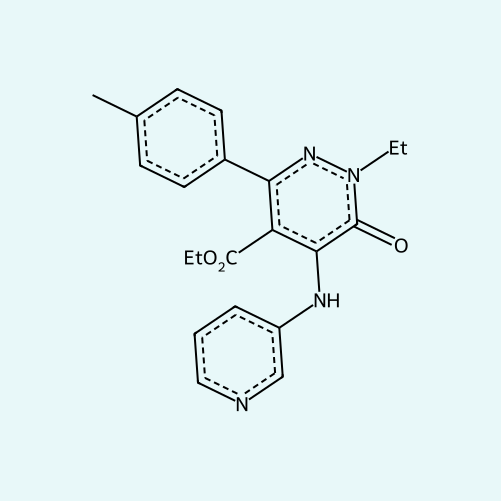 CCOC(=O)c1c(-c2ccc(C)cc2)nn(CC)c(=O)c1Nc1cccnc1